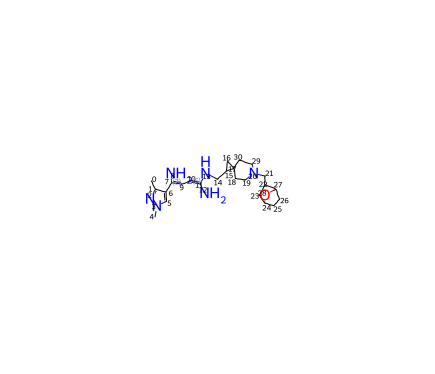 Cc1nn(C)cc1/C(N)=C/C=C(\N)NCC1CC12CCN(CC1CC3CCC1O3)CC2